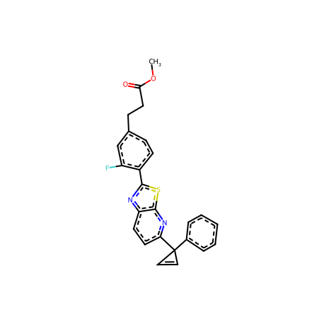 COC(=O)CCc1ccc(-c2nc3ccc(C4(c5ccccc5)C=C4)nc3s2)c(F)c1